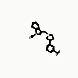 N#CB1C=C(CN2CCC(c3cccc(C(F)F)c3)C2)c2ccccc21